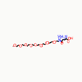 COCCOCCOCCOCCOCCOCCOCCOCCNC(=O)CC[C@H](N)C(=O)O